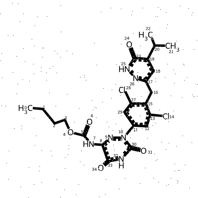 CCCCOC(=O)Nc1nn(-c2cc(Cl)c(Cc3cc(C(C)C)c(=O)[nH]n3)c(Cl)c2)c(=O)[nH]c1=O